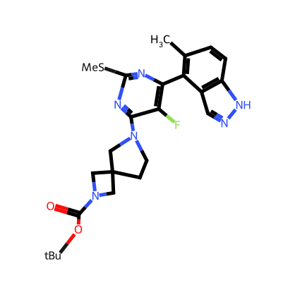 CSc1nc(-c2c(C)ccc3[nH]ncc23)c(F)c(N2CCC3(CN(C(=O)OC(C)(C)C)C3)C2)n1